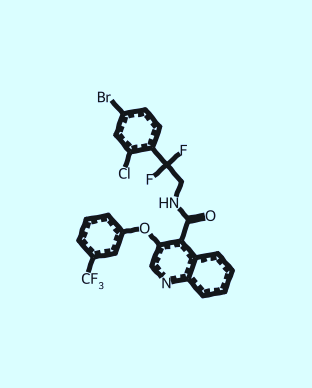 O=C(NCC(F)(F)c1ccc(Br)cc1Cl)c1c(Oc2cccc(C(F)(F)F)c2)cnc2ccccc12